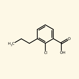 CCCc1cccc(C(=O)O)c1Cl